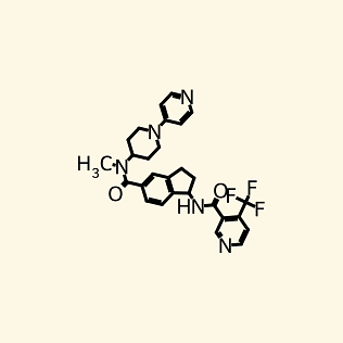 CN(C(=O)c1ccc2c(c1)CCC2NC(=O)c1cnccc1C(F)(F)F)C1CCN(c2ccncc2)CC1